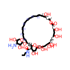 CCCNC(=O)[C@H]1[C@@H]2CC(O[C@@H]3OC[C@@H](O)[C@H](N)[C@@H]3O)/C=C/C=C/C=C/C=C/C=C/C=C/C=C/[C@H](C)[C@@H](O)C[C@H](C)OC(=O)CC(O)CC(O)CCC(O)C(O)CC(O)CC(O)(C[C@@H]1O)O2